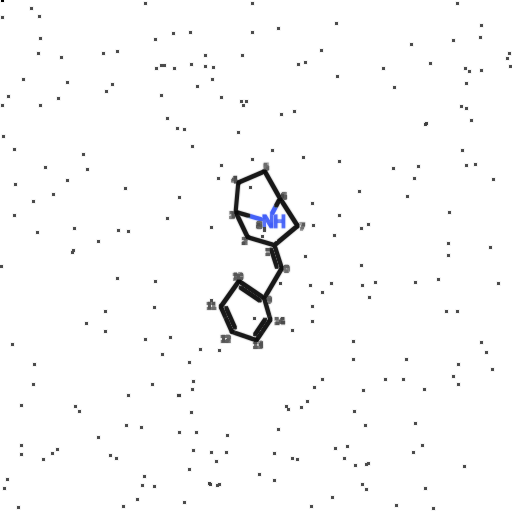 C(=C1CC2CCC(C1)N2)c1ccccc1